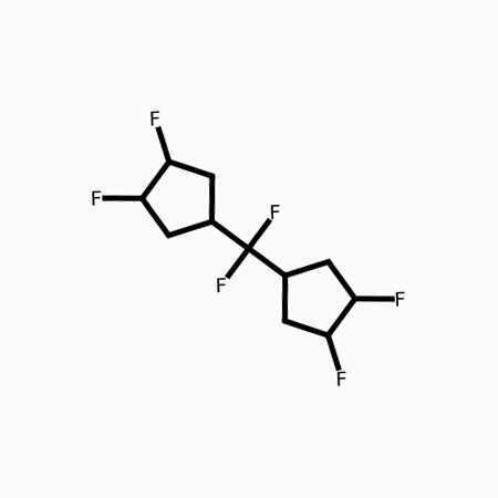 FC1CC(C(F)(F)C2CC(F)C(F)C2)CC1F